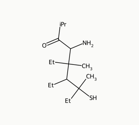 CCC(C(C)(S)CC)C(C)(CC)C(N)C(=O)C(C)C